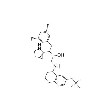 CC(C)(C)Cc1ccc2c(c1)C(NCC(O)C(Cc1cc(F)cc(F)c1)C1=NCCN1)CCC2